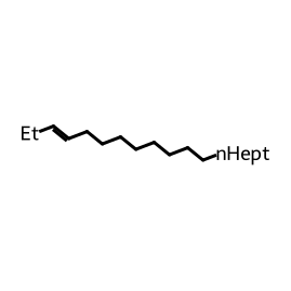 [CH2]CC=CCCCCCCCCCCCCCCC